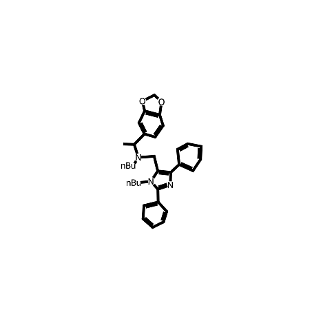 CCCCN(Cc1c(-c2ccccc2)nc(-c2ccccc2)n1CCCC)C(C)c1ccc2c(c1)OCO2